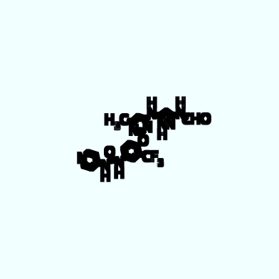 Cc1cc(Nc2cc(NC=O)n[nH]2)nc(Oc2ccc(NC(=O)Nc3ccncc3)cc2C(F)(F)F)n1